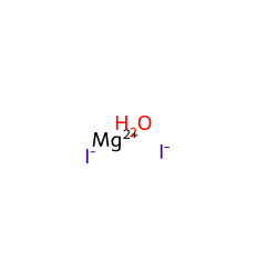 O.[I-].[I-].[Mg+2]